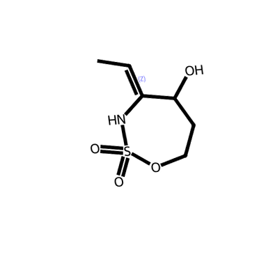 C/C=C1\NS(=O)(=O)OCCC1O